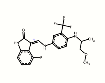 COCC(C)Nc1ccc(N/C=C2/C(=O)Nc3cccc(F)c32)cc1C(F)(F)F